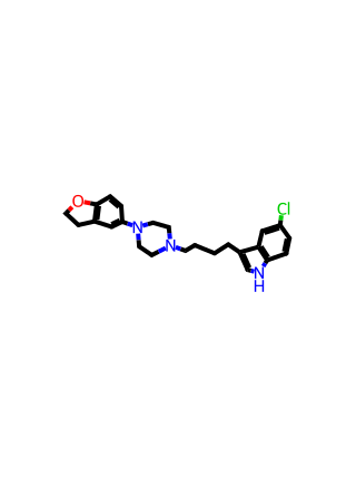 Clc1ccc2[nH]cc(CCCCN3CCN(c4ccc5c(c4)CCO5)CC3)c2c1